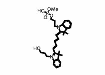 COP(=O)(O)OCCCN1/C(=C/C=C/C=C/C2=[N+](CCCO)c3ccccc3C2(C)C)C(C)(C)c2ccccc21